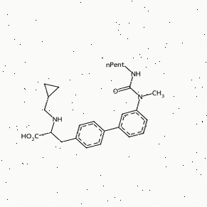 CCCCCNC(=O)N(C)c1cccc(-c2ccc(CC(NCC3CC3)C(=O)O)cc2)c1